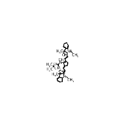 CCN1/C(=C/C=C2\C=CC(/C=C/C3=[N+](CC)c4ccccc4C3(C)C)=C2N(C)C(=O)OC(C)(C)C)C(C)(C)c2ccccc21